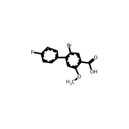 COc1cc(-c2ccc(F)cc2)c(Br)cc1C(=O)O